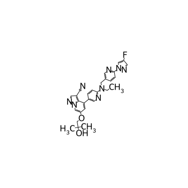 CCN(Cc1ccc(-n2cc(F)cn2)nc1)c1ccc(-c2cc(OCC(C)(C)O)cn3ncc(C#N)c23)cn1